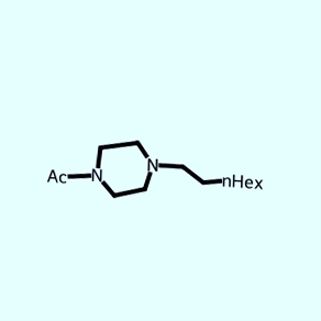 CCCCCCCCN1CCN(C(C)=O)CC1